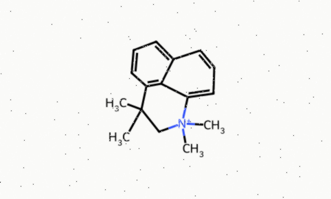 CC1(C)C[N+](C)(C)c2cccc3cccc1c23